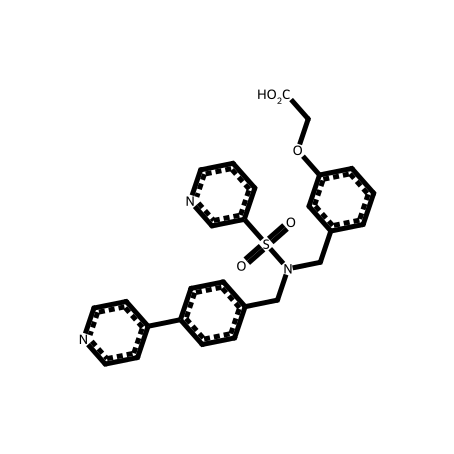 O=C(O)COc1cccc(CN(Cc2ccc(-c3ccncc3)cc2)S(=O)(=O)c2cccnc2)c1